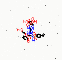 COc1ccccc1Oc1c(NS(=O)(=O)c2ccc(C(C)(C)C)cc2)nc(-c2ncccn2)nc1OCCO.O=C(O)C(=O)O